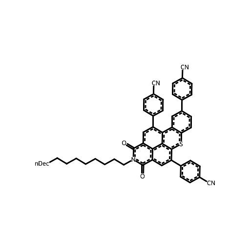 CCCCCCCCCCCCCCCCCCn1c(=O)c2cc(-c3ccc(C#N)cc3)c3sc4ccc(-c5ccc(C#N)cc5)cc4c4c(-c5ccc(C#N)cc5)cc(c1=O)c2c34